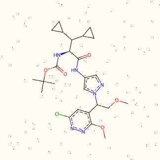 COCC(c1cc(Cl)nnc1OC)n1cc(NC(=O)[C@@H](NC(=O)OC(C)(C)C)C(C2CC2)C2CC2)cn1